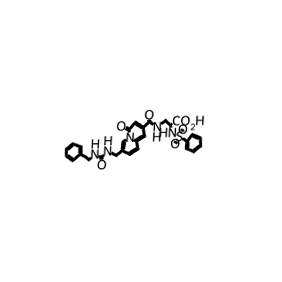 O=C(NCc1ccccc1)NCc1ccc2cc(C(=O)NC[C@H](NS(=O)(=O)c3ccccc3)C(=O)O)cc(=O)n2c1